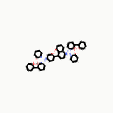 c1ccc(N(c2ccc3c(c2)Oc2cccc4c(N(c5ccccc5)c5cccc6c5oc5ccccc56)ccc-3c24)c2cccc3c2oc2ccccc23)cc1